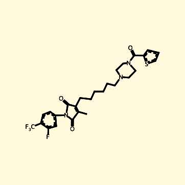 CC1=C(CCCCCCN2CCN(C(=O)c3cccs3)CC2)C(=O)N(c2ccc(C(F)(F)F)c(F)c2)C1=O